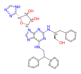 OC[C@H](Cc1ccccc1)Nc1nc(NCC(c2ccccc2)c2ccccc2)c2ncn([C@@H]3O[C@H](c4nnc[nH]4)[C@@H](O)[C@H]3O)c2n1